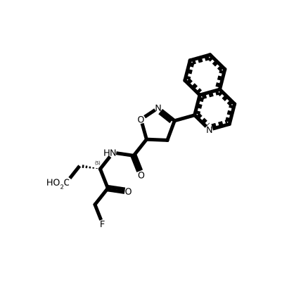 O=C(O)C[C@H](NC(=O)C1CC(c2nccc3ccccc23)=NO1)C(=O)CF